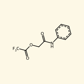 O=C(COC(=O)C(F)(F)F)Nc1ccccc1